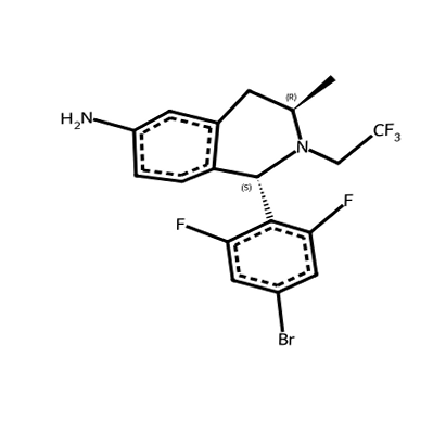 C[C@@H]1Cc2cc(N)ccc2[C@@H](c2c(F)cc(Br)cc2F)N1CC(F)(F)F